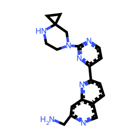 NCc1cc2nc(-c3ccnc(N4CCNC5(CC5)C4)n3)ccc2cn1